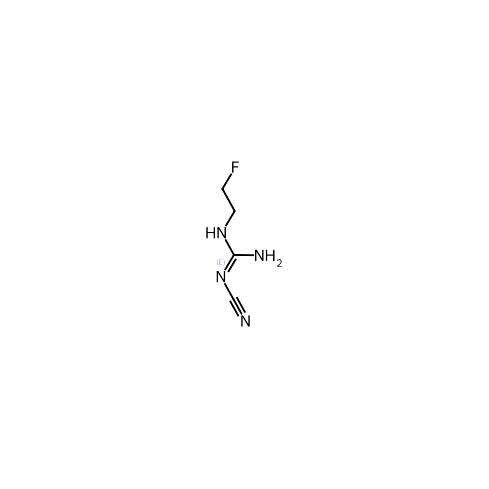 N#C/N=C(\N)NCCF